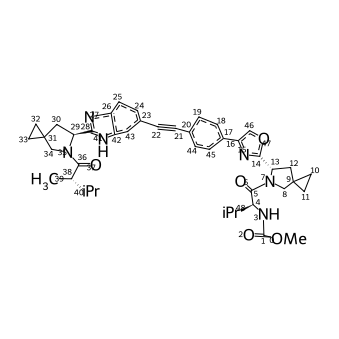 COC(=O)N[C@H](C(=O)N1CC2(CC2)C[C@H]1c1nc(-c2ccc(C#Cc3ccc4nc([C@@H]5CC6(CC6)CN5C(=O)[C@@H](C)C(C)C)[nH]c4c3)cc2)co1)C(C)C